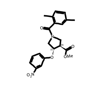 COC(=O)[C@@H]1CN(C(=O)c2cc(C)ccc2C)C[C@H]1Oc1cccc([N+](=O)[O-])c1